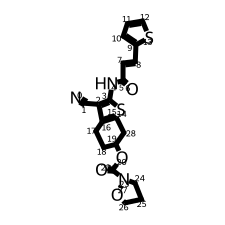 N#Cc1c(NC(=O)C=Cc2cccs2)sc2c1CCC(OC(=O)N1CCCO1)C2